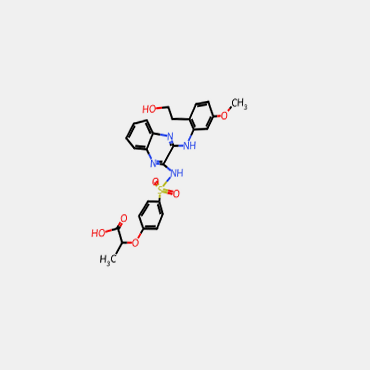 COc1ccc(CCO)c(Nc2nc3ccccc3nc2NS(=O)(=O)c2ccc(OC(C)C(=O)O)cc2)c1